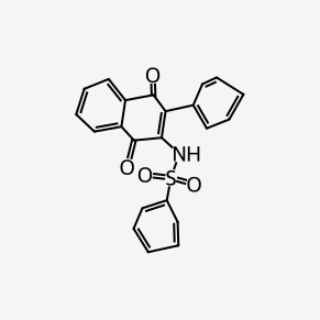 O=C1C(NS(=O)(=O)c2ccccc2)=C(c2ccccc2)C(=O)c2ccccc21